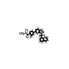 CCCNC(=O)c1ccc(-c2ccc3nnn(C(C)(C)c4cccc5cccnc45)c3n2)cc1F